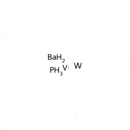 P.[BaH2].[V].[W]